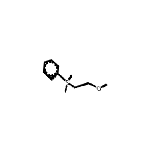 COC[CH][Si](C)(C)c1ccccc1